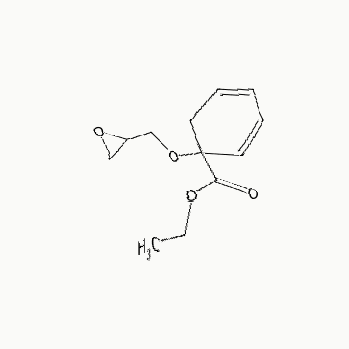 CCOC(=O)C1(OCC2CO2)C=CC=CC1